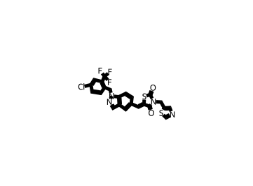 O=C1S/C(=C\c2ccc3c(cnn3Cc3ccc(Cl)cc3C(F)(F)F)c2)C(=O)N1Cc1cncs1